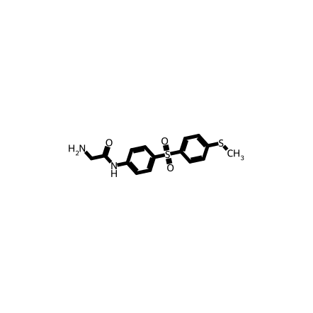 CSc1ccc(S(=O)(=O)c2ccc(NC(=O)CN)cc2)cc1